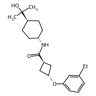 CCc1cccc(O[C@H]2C[C@H](C(=O)N[C@H]3CC[C@H](C(C)(C)O)CC3)C2)c1